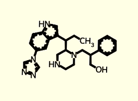 CCC(c1c[nH]c2ccc(-n3cnnc3)cc12)C1CNCCN1CC(CO)c1ccccc1